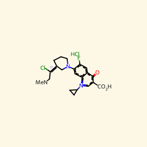 CNC/C(Cl)=C1/CCCN(c2cc3c(cc2F)c(=O)c(C(=O)O)cn3C2CC2)C1.Cl